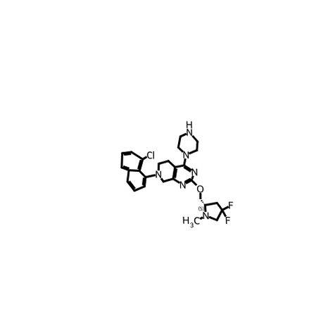 CN1CC(F)(F)C[C@H]1COc1nc2c(c(N3CCNCC3)n1)CCN(c1cccc3cccc(Cl)c13)C2